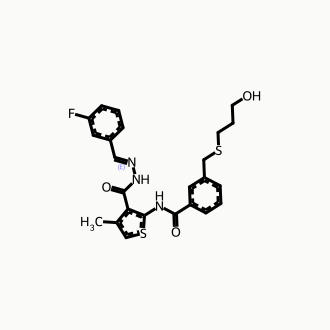 Cc1csc(NC(=O)c2cccc(CSCCCO)c2)c1C(=O)N/N=C/c1cccc(F)c1